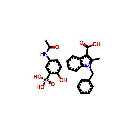 CC(=O)Nc1ccc(O)c([As](=O)(O)O)c1.Cc1c(C(=O)O)c2ccccc2n1Cc1ccccc1